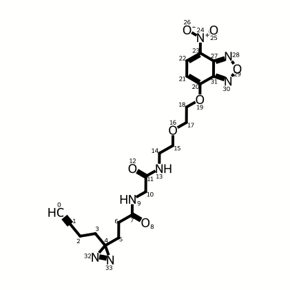 C#CCCC1(CCC(=O)NCC(=O)NCCOCCOc2ccc([N+](=O)[O-])c3nonc23)N=N1